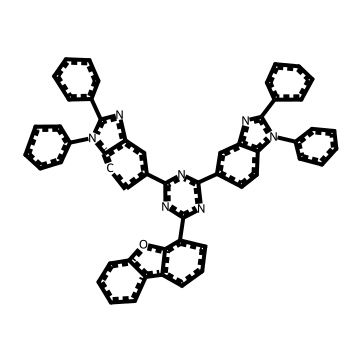 c1ccc(-c2nc3cc(-c4nc(-c5ccc6c(c5)nc(-c5ccccc5)n6-c5ccccc5)nc(-c5cccc6c5oc5ccccc56)n4)ccc3n2-c2ccccc2)cc1